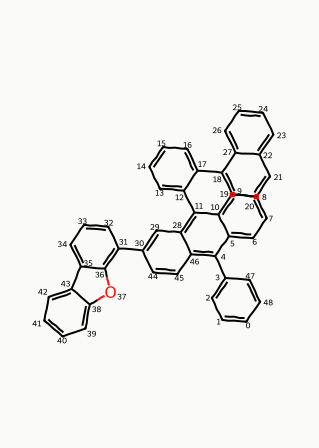 c1ccc(-c2c3ccccc3c(-c3ccccc3-c3cccc4ccccc34)c3cc(-c4cccc5c4oc4ccccc45)ccc23)cc1